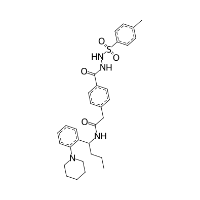 CCCC(NC(=O)Cc1ccc(C(=O)NNS(=O)(=O)c2ccc(C)cc2)cc1)c1ccccc1N1CCCCC1